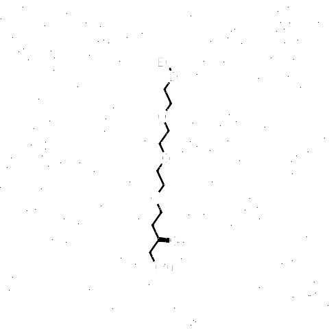 CCOCCOCCOCCOCCC(=O)CC(C)(C)C